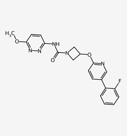 COc1ccc(NC(=O)N2CC(Oc3ccc(-c4ccccc4F)cn3)C2)nn1